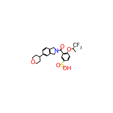 CC(Oc1ccc(S(=O)O)cc1C(=O)N1Cc2ccc(C3CCOCC3)cc2C1)C(F)(F)F